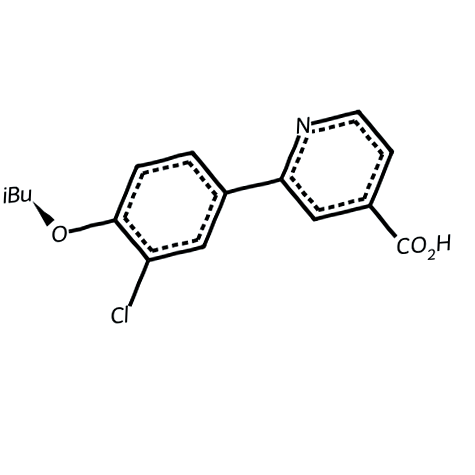 CC[C@H](C)Oc1ccc(-c2cc(C(=O)O)ccn2)cc1Cl